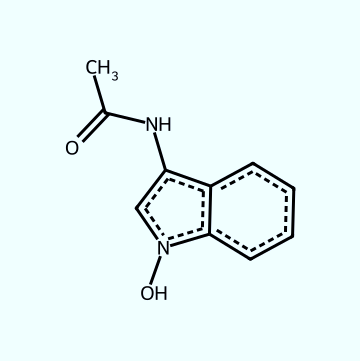 CC(=O)Nc1cn(O)c2ccccc12